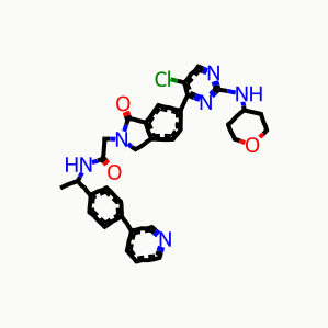 CC(NC(=O)CN1Cc2ccc(-c3nc(NC4CCOCC4)ncc3Cl)cc2C1=O)c1ccc(-c2cccnc2)cc1